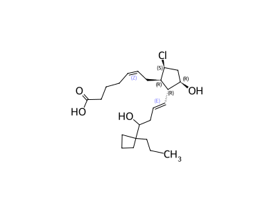 CCCC1(C(O)C/C=C/[C@@H]2[C@@H](C/C=C\CCCC(=O)O)[C@@H](Cl)C[C@H]2O)CCC1